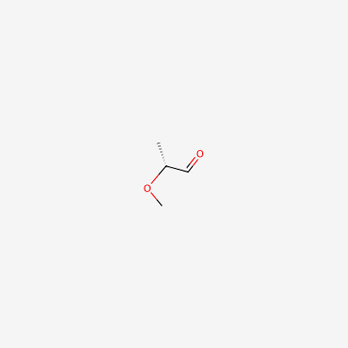 CO[C@H](C)C=O